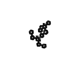 c1ccc(-c2cccc(-c3cc(-c4cccc(-c5ccccc5)c4)nc(-c4ccc(-c5cccc(-c6cc(-c7ccccc7)nc7ccc8ccccc8c67)c5)cc4)n3)c2)cc1